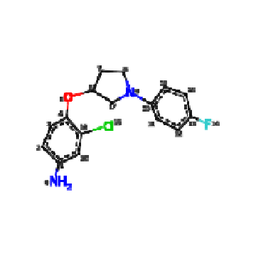 Nc1ccc(OC2CCN(c3ccc(F)cc3)C2)c(Cl)c1